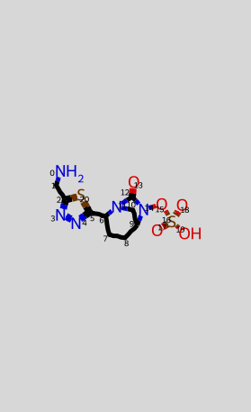 NCc1nnc(C2CCC3CN2C(=O)N3OS(=O)(=O)O)s1